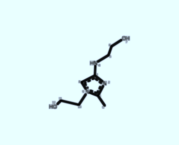 Cc1nc(NCCO)cn1CCO